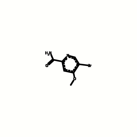 COc1cc(C(N)=O)ncc1Br